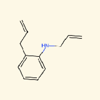 C=CCNc1ccccc1CC=C